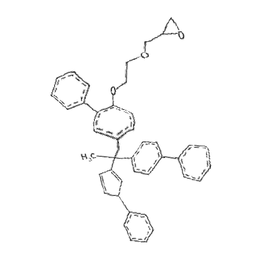 CC(C1=CC(c2ccccc2)C=C1)(c1ccc(-c2ccccc2)cc1)c1ccc(OCCOCC2CO2)c(-c2ccccc2)c1